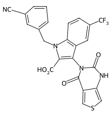 N#Cc1cccc(Cn2c(C(=O)O)c(-n3c(=O)[nH]c4cscc4c3=O)c3cc(C(F)(F)F)ccc32)c1